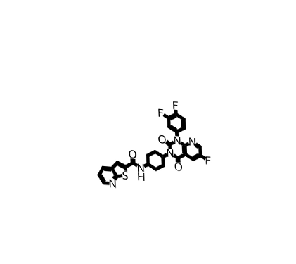 O=C(NC1CCC(n2c(=O)c3cc(F)cnc3n(-c3ccc(F)c(F)c3)c2=O)CC1)c1cc2cccnc2s1